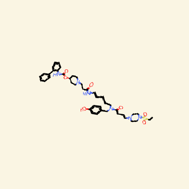 CCS(=O)(=O)N1CCN(CCCC(=O)N(CCCCCNC(=O)CCN2CCC(OC(=O)Nc3ccccc3-c3ccccc3)CC2)Cc2ccc(O)cc2)CC1